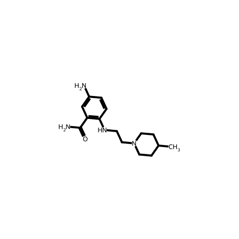 CC1CCN(CCNc2ccc(N)cc2C(N)=O)CC1